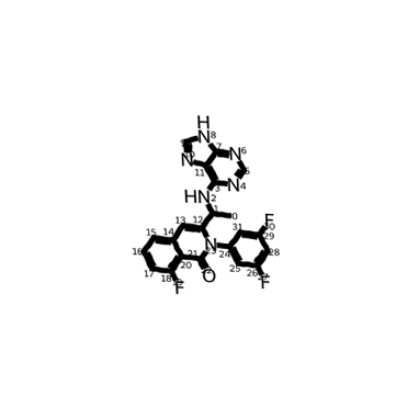 CC(Nc1ncnc2[nH]cnc12)c1cc2cccc(F)c2c(=O)n1-c1cc(F)cc(F)c1